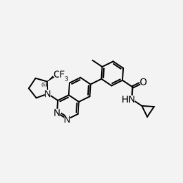 Cc1ccc(C(=O)NC2CC2)cc1-c1ccc2c(N3CCC[C@H]3C(F)(F)F)nncc2c1